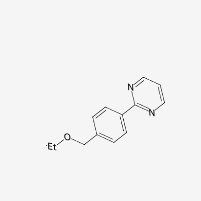 C[CH]OCc1ccc(-c2ncccn2)cc1